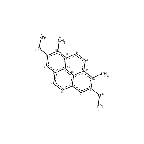 CCCOc1cc2ccc3cc(OCCC)c(C)c4ccc(c1C)c2c34